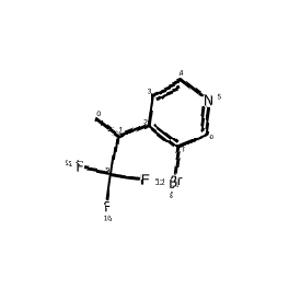 CC(c1ccncc1Br)C(F)(F)F